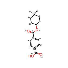 CC1(C)CCC(OC(=O)c2ccc(C(=O)O)cc2)CC1